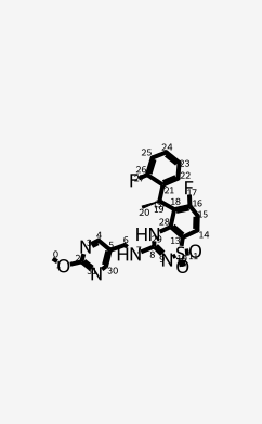 COc1ncc(CNC2=NS(=O)(=O)c3ccc(F)c([C@@H](C)c4ccccc4F)c3N2)cn1